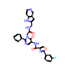 O=C(Cn1c(-c2ccccc2)ncc(NC(=O)c2coc(-c3cccc(F)c3)n2)c1=O)NCc1cc2cnccc2[nH]1